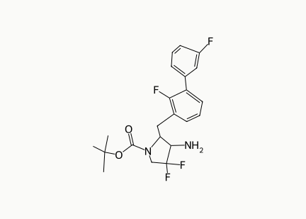 CC(C)(C)OC(=O)N1CC(F)(F)C(N)C1Cc1cccc(-c2cccc(F)c2)c1F